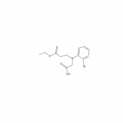 CCOC(=O)CCN(CC(=O)O)c1ccccc1Br